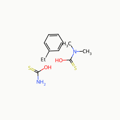 CCc1ccccc1.CN(C)C(O)=S.NC(O)=S